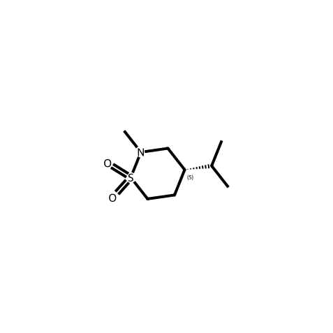 CC(C)[C@@H]1CCS(=O)(=O)N(C)C1